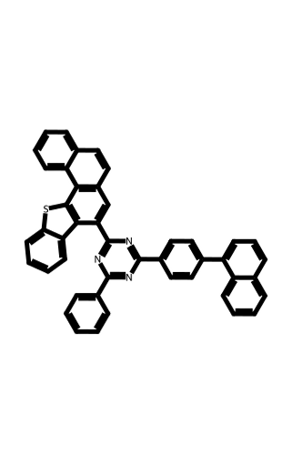 c1ccc(-c2nc(-c3ccc(-c4cccc5ccccc45)cc3)nc(-c3cc4ccc5ccccc5c4c4sc5ccccc5c34)n2)cc1